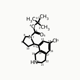 CC(C)(C)OC(=O)N1CCCC1c1cc(Cl)cc2c1CNCC2